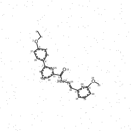 CCOc1ccc(-c2cncc(C(=O)N/N=C/c3cccc(OC)n3)n2)cc1